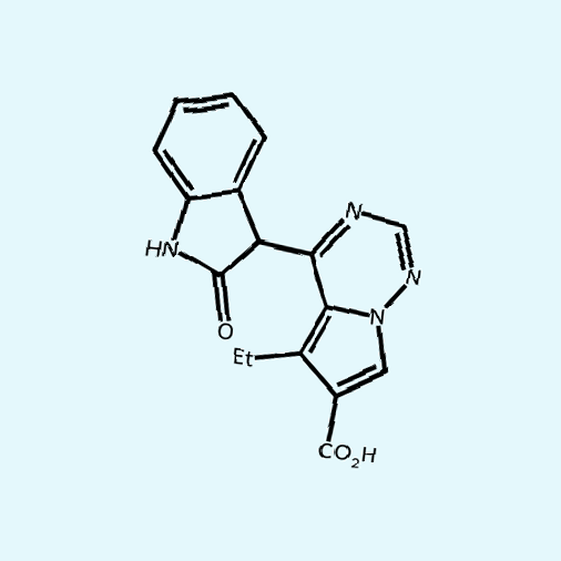 CCc1c(C(=O)O)cn2ncnc(C3C(=O)Nc4ccccc43)c12